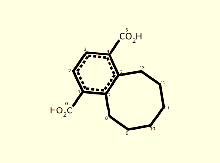 O=C(O)c1ccc(C(=O)O)c2c1CCCCCC2